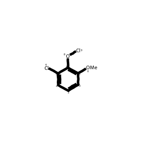 COc1cccc(Cl)c1OCl